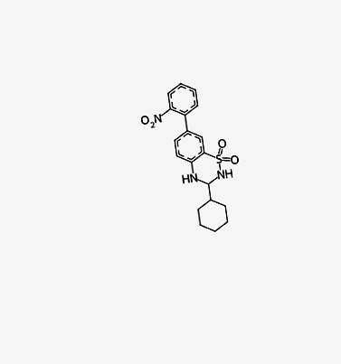 O=[N+]([O-])c1ccccc1-c1ccc2c(c1)S(=O)(=O)NC(C1CCCCC1)N2